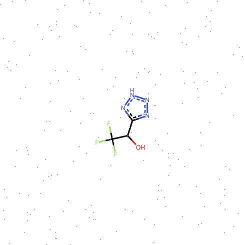 O[C](c1nn[nH]n1)C(F)(F)F